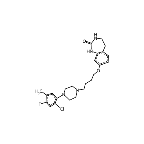 Cc1cc(N2CCN(CCCCOc3ccc4c(c3)NC(=O)NCC4)CC2)c(Cl)cc1F